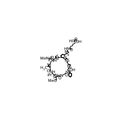 CNC(=O)C[C@@H]1NC(=O)c2csc(n2)-c2ccc(-c3nc(NC(=O)CCCCP(=O)(O)O)cs3)nc2-c2csc(n2)-c2csc(n2)[C@H]([C@@H](O)c2ccccc2)NC(=O)CNC(=O)c2nc(sc2COC)[C@@H](C(C)C)NC(=O)c2nc1sc2C